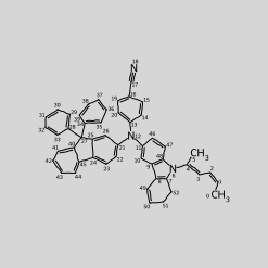 C/C=C\C=C(/C)n1c2c(c3cc(N(c4ccc(C#N)cc4)c4ccc5c(c4)C(c4ccccc4)(c4ccccc4)c4ccccc4-5)ccc31)C=CCC2